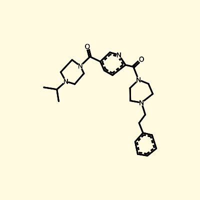 CC(C)N1CCN(C(=O)c2ccc(C(=O)N3CCN(CCc4ccccc4)CC3)nc2)CC1